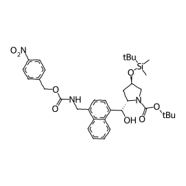 CC(C)(C)OC(=O)N1C[C@H](O[Si](C)(C)C(C)(C)C)C[C@H]1C(O)c1ccc(CNC(=O)OCc2ccc([N+](=O)[O-])cc2)c2ccccc12